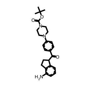 CC(C)(C)OC(=O)N1CCN(c2ccc(C(=O)C3CCc4c(N)cccc43)cc2)CC1